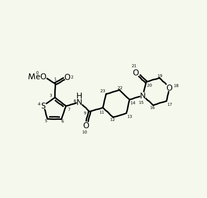 COC(=O)c1sccc1NC(=O)C1CCC(N2CCOCC2=O)CC1